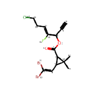 C#CC(OC(=O)C1C(C=C(Br)Br)C1(C)C)/C(F)=C/CCCl